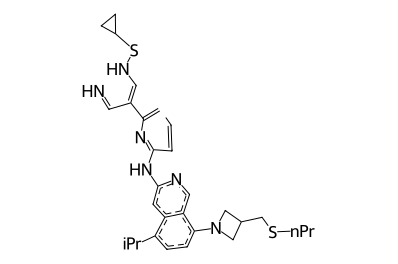 C=C(/N=C(\C=C/C)Nc1cc2c(C(C)C)ccc(N3CC(CSCCC)C3)c2cn1)/C(C=N)=C/NSC1CC1